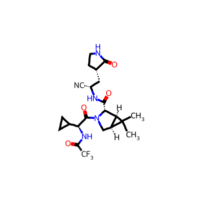 CC1(C)[C@@H]2[C@@H](C(=O)N[C@H](C#N)C[C@@H]3CCNC3=O)N(C(=O)[C@@H](NC(=O)C(F)(F)F)C3CC3)C[C@@H]21